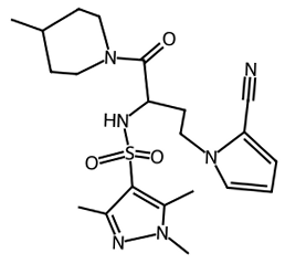 Cc1nn(C)c(C)c1S(=O)(=O)NC(CCn1cccc1C#N)C(=O)N1CCC(C)CC1